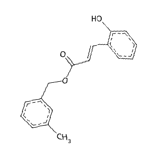 Cc1cccc(COC(=O)C=Cc2ccccc2O)c1